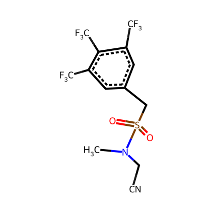 CN(CC#N)S(=O)(=O)Cc1cc(C(F)(F)F)c(C(F)(F)F)c(C(F)(F)F)c1